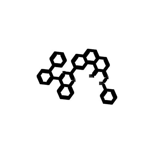 N=C1/C(=N\Nc2ccccc2)C=Cc2ccc3ccc(-c4nc(-c5ccccc5-c5ccccc5)c5ccccc5n4)cc3c21